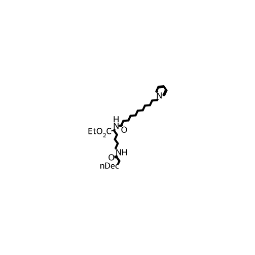 CCCCCCCCCCCC(=O)NCCCC[C@H](NC(=O)CCCCCCCCCC[n+]1ccccc1)C(=O)OCC